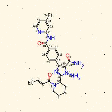 CCC=CC(=O)N1CCCCC1c1nc(-c2ccc(C(=O)Nc3cc(CC)ccn3)cc2)c(C(N)=O)n1N